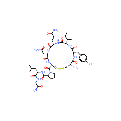 CCC(C)[C@@H]1NC(=O)[C@H](Cc2ccc(O)cc2)NC(=O)[C@@H](N)CSSC[C@@H](C(=O)N2CCCC2C(=O)N[C@@H](CC(C)C)C(=O)NCC(N)=O)NC(=O)[C@H](CC(N)=O)NC(=O)[C@H](CCC(N)=O)NC1=O